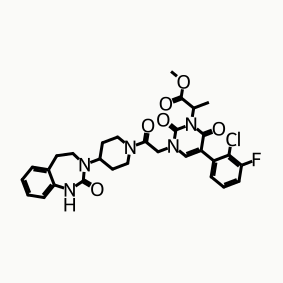 COC(=O)C(C)n1c(=O)c(-c2cccc(F)c2Cl)cn(CC(=O)N2CCC(N3CCc4ccccc4NC3=O)CC2)c1=O